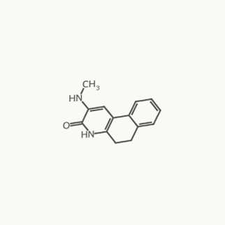 CNc1cc2c([nH]c1=O)CCc1ccccc1-2